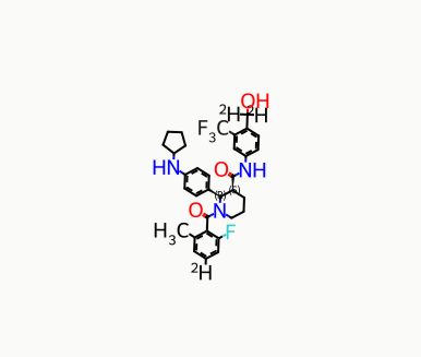 [2H]c1cc(C)c(C(=O)N2CCC[C@H](C(=O)Nc3ccc(C([2H])([2H])O)c(C(F)(F)F)c3)[C@@H]2c2ccc(NC3CCCC3)cc2)c(F)c1